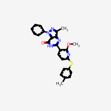 COc1nc(Sc2ccc(C)cc2)ccc1-c1nc2c(C)nn(-c3ccccc3)c2c(=O)[nH]1